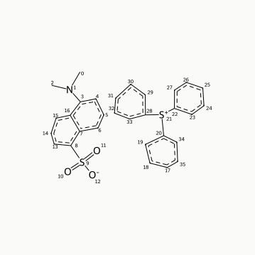 CN(C)c1cccc2c(S(=O)(=O)[O-])cccc12.c1ccc([S+](c2ccccc2)c2ccccc2)cc1